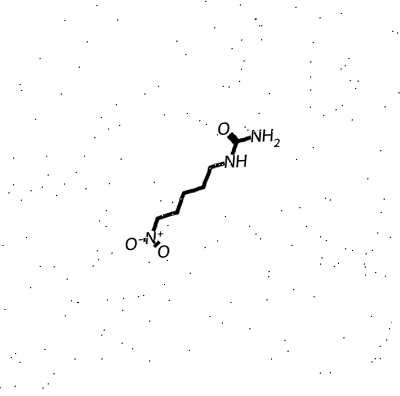 NC(=O)NCCCCC[N+](=O)[O-]